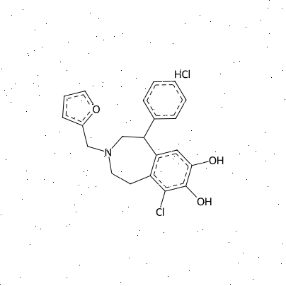 Cl.Oc1cc2c(c(Cl)c1O)CCN(Cc1ccco1)CC2c1ccccc1